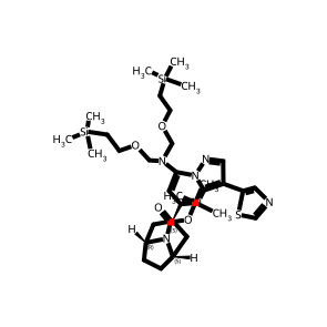 CC(C)(C)OC(=O)N1[C@@H]2CC[C@H]1C[C@H](c1cc(N(COCC[Si](C)(C)C)COCC[Si](C)(C)C)n3ncc(-c4cncs4)c3n1)C2